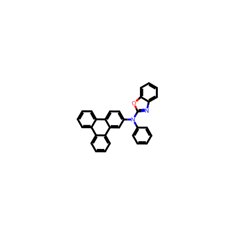 c1ccc(N(c2ccc3c4ccccc4c4ccccc4c3c2)c2nc3ccccc3o2)cc1